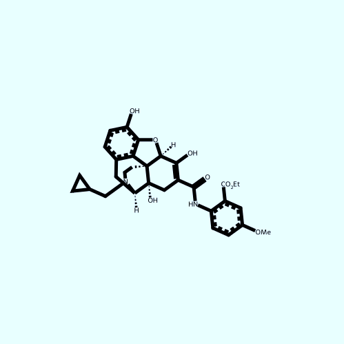 CCOC(=O)c1cc(OC)ccc1NC(=O)C1=C(O)[C@@H]2Oc3c(O)ccc4c3[C@@]23CCN(CC2CC2)[C@H](C4)[C@]3(O)C1